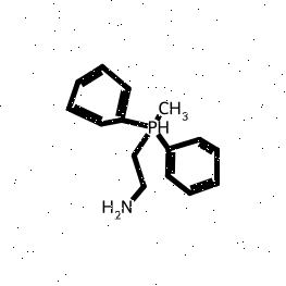 C[PH](CCN)(c1ccccc1)c1ccccc1